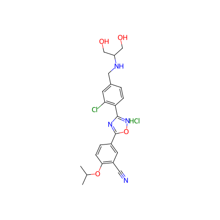 CC(C)Oc1ccc(-c2nc(-c3ccc(CNC(CO)CO)cc3Cl)no2)cc1C#N.Cl